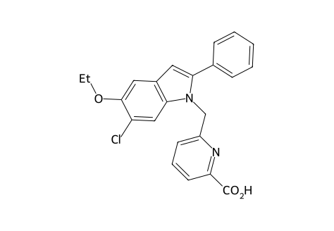 CCOc1cc2cc(-c3ccccc3)n(Cc3cccc(C(=O)O)n3)c2cc1Cl